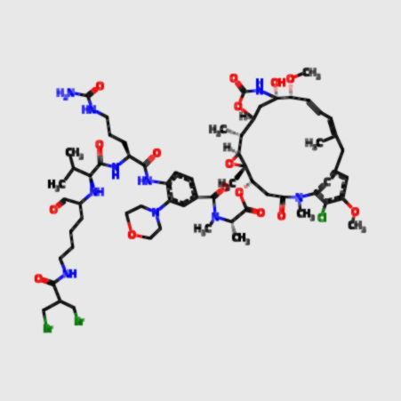 COc1cc2cc(c1Cl)N(C)C(=O)C[C@H](OC(=O)[C@H](C)N(C)C(=O)c1ccc(NC(=O)[C@H](CCCNC(N)=O)NC(=O)[C@@H](NC(C=O)CCCCNC(=O)C(CBr)CBr)C(C)C)c(N3CCOCC3)c1)[C@]1(C)O[C@H]1[C@H](C)[C@@H]1C[C@@](O)(NC(=O)O1)[C@H](OC)/C=C/C=C(\C)C2